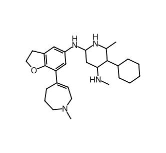 CNC1CC(Nc2cc3c(c(C4=CCN(C)CCC4)c2)OCC3)NC(C)C1C1CCCCC1